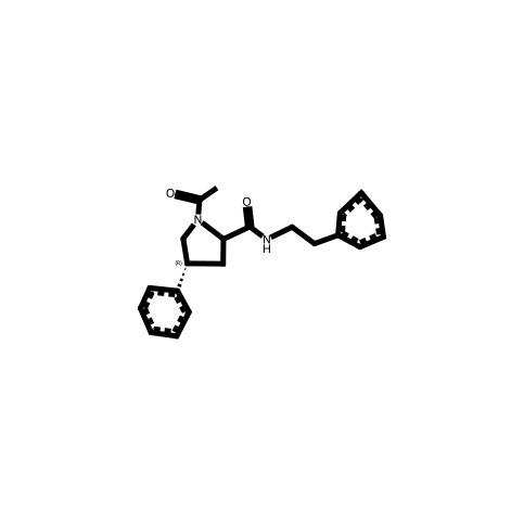 CC(=O)N1C[C@@H](c2ccccc2)CC1C(=O)NCCc1ccccc1